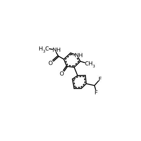 CNC(=O)c1c[nH]c(C)c(-c2cccc(C(F)F)c2)c1=O